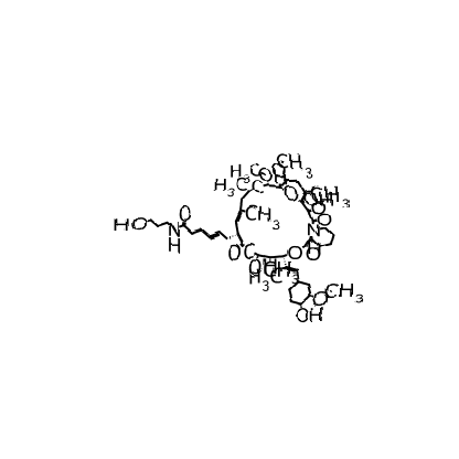 CO[C@H]1C[C@@H](C)C/C(C)=C/[C@@H](C/C=C/CCC(=O)NCCCO)C(=O)C[C@H](O)[C@@H](C)[C@@H](/C(C)=C/[C@@H]2CC[C@@H](O)[C@H](OC)C2)OC(=O)[C@@H]2CCCCN2C(=O)C(=O)[C@]2(O)O[C@H]1[C@@H](OC)C[C@H]2C